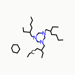 C1CCCCC1.CCCCC(CC)CN1CN(CC(CC)CCCC)CN(CC(CC)CCCC)C1